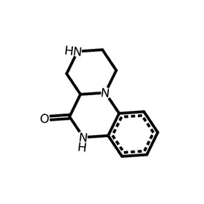 O=C1Nc2ccccc2N2CCNCC12